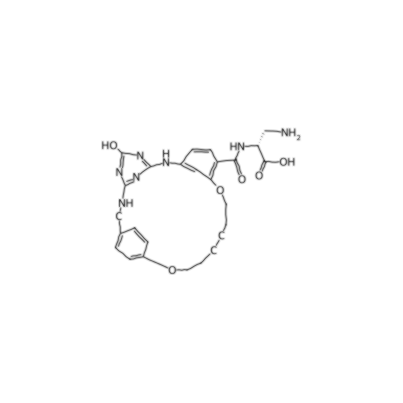 NC[C@@H](NC(=O)c1ccc2cc1OCCCCCCOc1ccc(cc1)CNc1nc(O)nc(n1)N2)C(=O)O